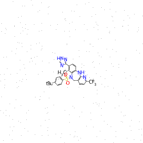 Cc1c(-c2nc[nH]n2)ccc2c1N(S(=O)(=O)c1ccc(C(C)(C)C)cc1)Cc1ccc(C(F)(F)F)nc1N2